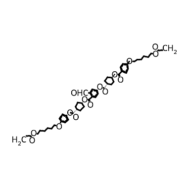 C=CC(=O)OCCCCCCOc1ccc(OC(=O)[C@H]2CC[C@H](OC(=O)c3ccc(OC(=O)[C@H]4CC[C@H](OC(=O)c5ccc(OCCCCCCOC(=O)C=C)cc5)CC4)cc3C=O)CC2)cc1